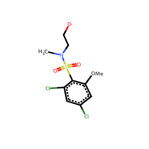 COc1cc(Cl)cc(Cl)c1S(=O)(=O)N(C)CC[O]